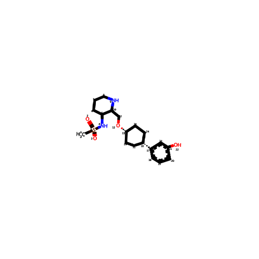 CS(=O)(=O)NC1CCCNC1CO[C@H]1CC[C@@H](c2cccc(O)c2)CC1